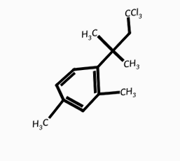 Cc1ccc(C(C)(C)CC(Cl)(Cl)Cl)c(C)c1